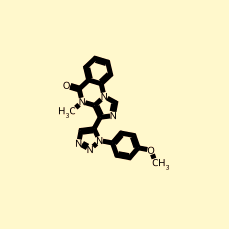 COc1ccc(-n2nncc2-c2ncn3c4ccccc4c(=O)n(C)c23)cc1